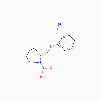 NCc1ccncc1OC[C@H]1CCCCN1C(=O)O